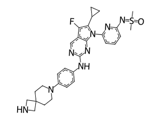 CS(C)(=O)=Nc1cccc(-n2c(C3CC3)c(F)c3cnc(Nc4ccc(N5CCC6(CC5)CNC6)cc4)nc32)n1